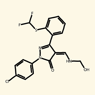 O=C1C(=CNCO)C(c2ccccc2SC(F)F)=NN1c1ccc(Cl)cc1